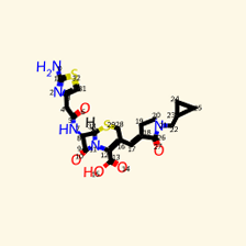 Nc1nc(CC(=O)N[C@@H]2C(=O)N3C(C(=O)O)=C(C=C4CCN(CC5CC5)C4=O)CS[C@H]23)cs1